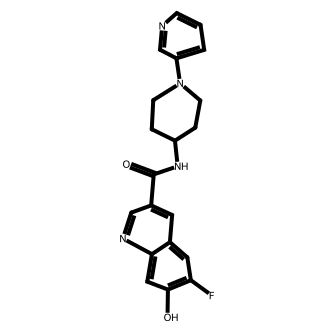 O=C(NC1CCN(c2cccnc2)CC1)c1cnc2cc(O)c(F)cc2c1